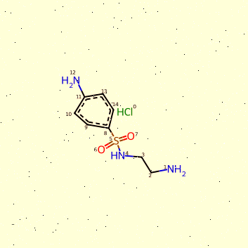 Cl.NCCNS(=O)(=O)c1ccc(N)cc1